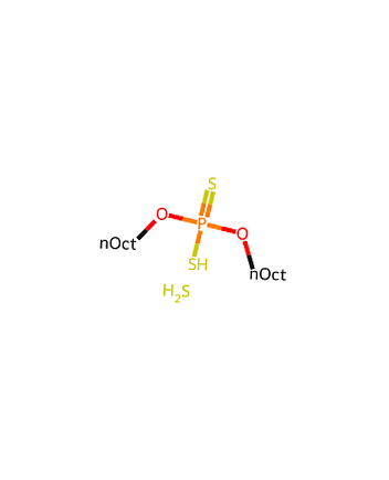 CCCCCCCCOP(=S)(S)OCCCCCCCC.S